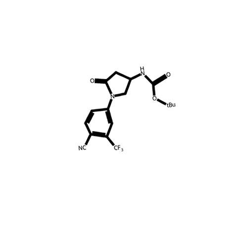 CC(C)(C)OC(=O)NC1CC(=O)N(c2ccc(C#N)c(C(F)(F)F)c2)C1